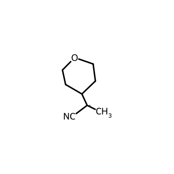 C[C](C#N)C1CCOCC1